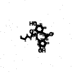 CCCCC(=O)N1Cc2cc(O)ccc2-c2c(c2=O)-c2ccc(O)cc21